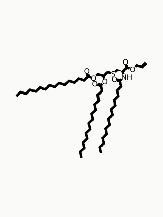 C=CCOC(=O)[C@H](CSCC(COC(=O)CCCCCCCCCCCCCCC)OC(=O)CCCCCCCCCCCCCCC)NC(=O)CCCCCCCCCCCCCCC